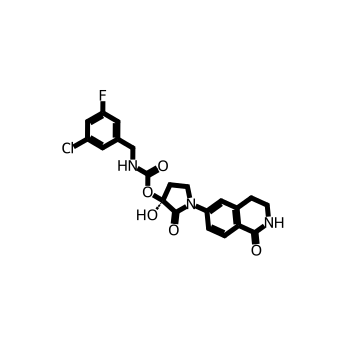 O=C(NCc1cc(F)cc(Cl)c1)O[C@@]1(O)CCN(c2ccc3c(c2)CCNC3=O)C1=O